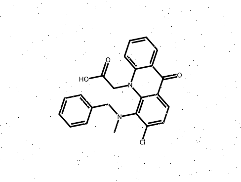 CN(Cc1ccccc1)c1c(Cl)ccc2c(=O)c3ccccc3n(CC(=O)O)c12